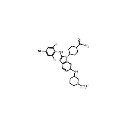 N#Cc1cc(Cl)c(Nc2nc3cnc(NC4CCCN(C(=O)O)C4)nc3n2C2CCC(C(N)=O)CC2)c(Cl)c1